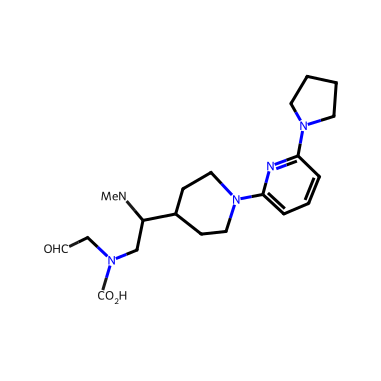 CNC(CN(CC=O)C(=O)O)C1CCN(c2cccc(N3CCCC3)n2)CC1